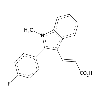 Cn1c(-c2ccc(F)cc2)c(C=CC(=O)O)c2ccccc21